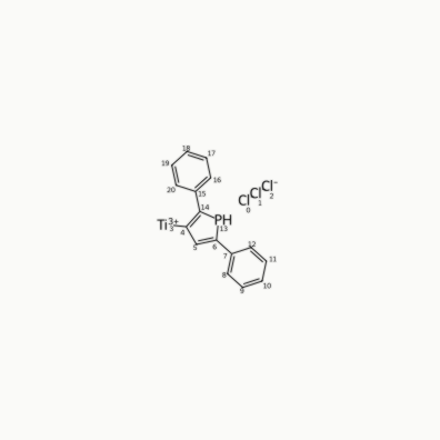 [Cl-].[Cl-].[Cl-].[Ti+3][c]1cc(-c2ccccc2)[pH]c1-c1ccccc1